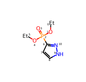 CCOP(=O)(OCC)c1cc[nH]n1